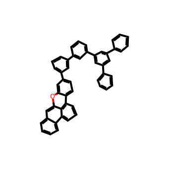 c1ccc(-c2cc(-c3ccccc3)cc(-c3cccc(-c4cccc(-c5ccc6c(c5)Oc5cc7ccccc7c7cccc-6c57)c4)c3)c2)cc1